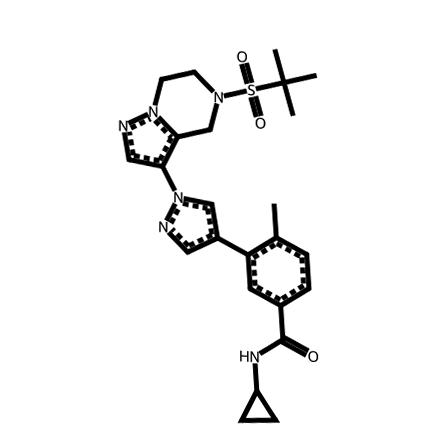 Cc1ccc(C(=O)NC2CC2)cc1-c1cnn(-c2cnn3c2CN(S(=O)(=O)C(C)(C)C)CC3)c1